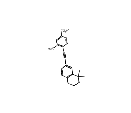 COc1cc(C(=O)O)ccc1C#Cc1ccc2c(c1)C(C)(C)CCS2